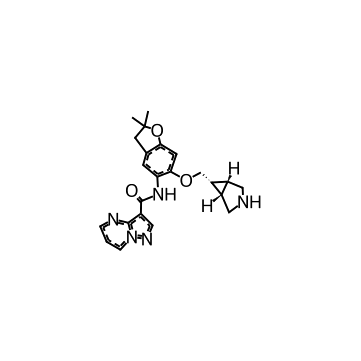 CC1(C)Cc2cc(NC(=O)c3cnn4cccnc34)c(OC[C@@H]3[C@@H]4CNC[C@@H]43)cc2O1